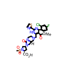 COC(=O)C1=C(CN2CCN3C(=O)N([C@H]4C[C@H](C(=O)O)N(S(C)(=O)=O)C4)C[C@@H]3C2)NC(c2nccs2)=NC1c1ccc(F)cc1Cl